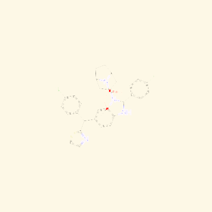 CCOC(=O)N1C2CCC1CC(N1c3cc(C(c4ccc(Cl)cc4)c4nccs4)ccc3NC1c1ccc(Cl)cc1)C2